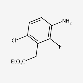 CCOC(=O)Cc1c(Cl)ccc(N)c1F